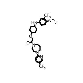 O=C(COC1CCC(Nc2ccc([N+](=O)[O-])c(C(F)(F)F)c2)CC1)N1CCCN(c2ccc(C(F)(F)F)cn2)CC1